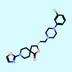 O=C1O[C@@H](CCN2CCN(c3cccc(Cl)c3)CC2)CC12CCN(c1ncco1)CC2